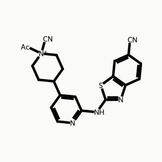 CC(=O)[N+]1(C#N)CCC(c2ccnc(Nc3nc4ccc(C#N)cc4s3)c2)CC1